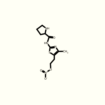 Cc1nc(NC(=O)C2CCCN2)sc1CCO[N+](=O)[O-]